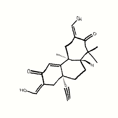 C#C[C@@]12CC[C@H]3C(C)(C)C(=O)/C(=C\O)C[C@]3(C)C1=CC(=O)/C(=C\O)C2